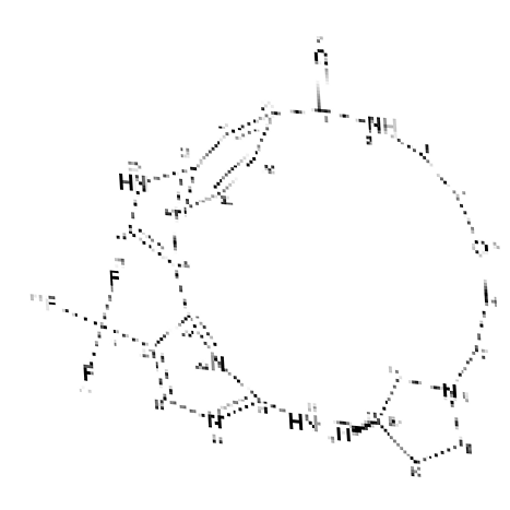 O=C1NCCOCCN2CC[C@@H](C2)Nc2ncc(C(F)(F)F)c(n2)-c2c[nH]c3cc1ccc23